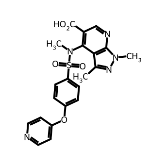 Cc1nn(C)c2ncc(C(=O)O)c(N(C)S(=O)(=O)c3ccc(Oc4ccncc4)cc3)c12